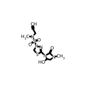 C#CCN(C)S(=O)(=O)N1CSC(N2C(=O)N(C)CC2O)=N1